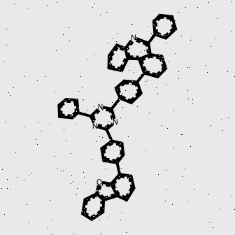 c1ccc(-c2nc(-c3ccc(-c4cccc5c4oc4ccccc45)cc3)nc(-c3ccc(-c4cccc5c(-c6ccccc6)nc6ccccc6c45)cc3)n2)cc1